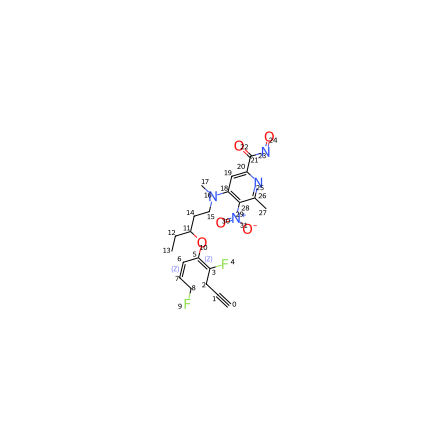 C#CC/C(F)=C(\C=C/CF)OC(CC)CCN(C)c1cc(C(=O)N=O)nc(C)c1[N+](=O)[O-]